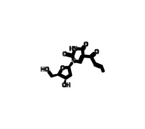 CC=CC(=O)c1cn([C@H]2C[C@H](O)[C@@H](CO)O2)c(=O)[nH]c1=O